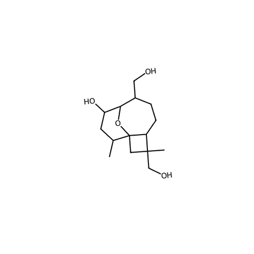 CC1CC(O)C2OC13CC(C)(CO)C3CCC2CO